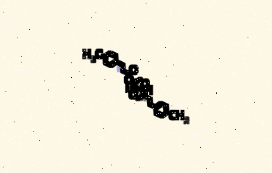 Cc1ccc(C=C[C@H]2CO[C@H]3[C@@H]2OC[C@H]3OC(=O)/C=C/c2ccc(C)cc2)cc1